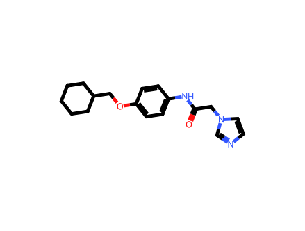 O=C(Cn1ccnc1)Nc1ccc(OCC2CCCCC2)cc1